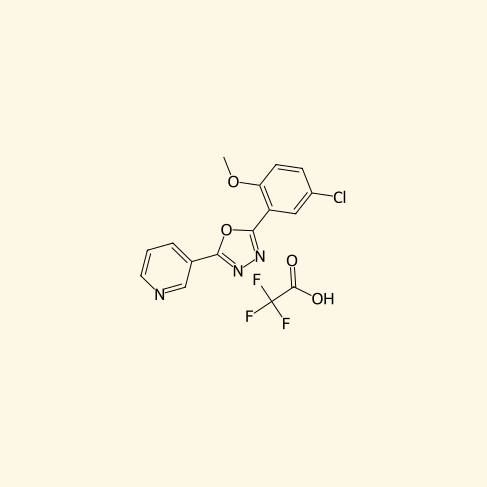 COc1ccc(Cl)cc1-c1nnc(-c2cccnc2)o1.O=C(O)C(F)(F)F